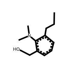 CCCc1cccc(CO)c1N(C)C